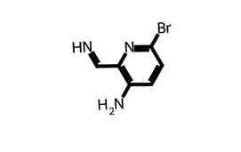 N=Cc1nc(Br)ccc1N